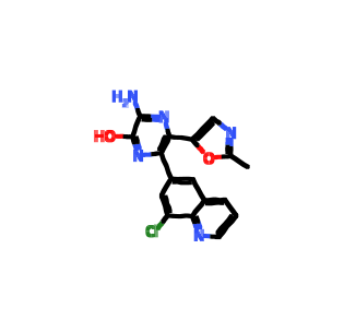 Cc1ncc(-c2nc(N)c(O)nc2-c2cc(Cl)c3ncccc3c2)o1